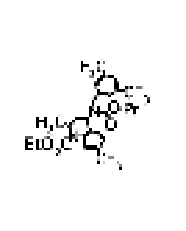 CCOC(=O)N1c2cc(C(F)(F)F)ccc2[C@@H](N(Cc2cc(C(F)(F)F)cc(C(F)(F)F)c2)C(=O)OC(C)C)C[C@H]1C